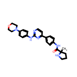 CC1(C(=O)Nc2ccc(-c3ccnc(Nc4ccc(N5CCOCC5)cc4)n3)cc2)CCCN1